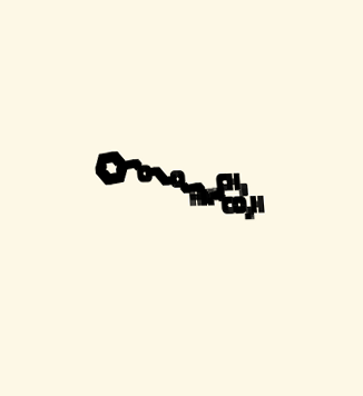 C[C@H](NCCOCCOCc1ccccc1)C(=O)O